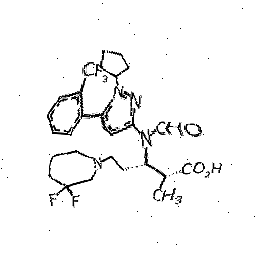 C[C@@H](C(=O)O)[C@H](CCN1CCCC(F)(F)C1)N(C=O)c1cc(-c2ccccc2C(F)(F)F)n(C2CCCC2)n1